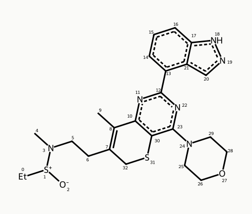 CC[S+]([O-])N(C)CCC1=C(C)c2nc(-c3cccc4[nH]ncc34)nc(N3CCOCC3)c2SC1